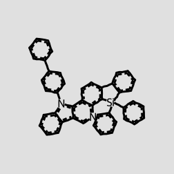 c1ccc(-c2ccc(-n3c4ccccc4c4cnc5c6c(ccc5c43)-c3ccccc3[Si]6(c3ccccc3)c3ccccc3)cc2)cc1